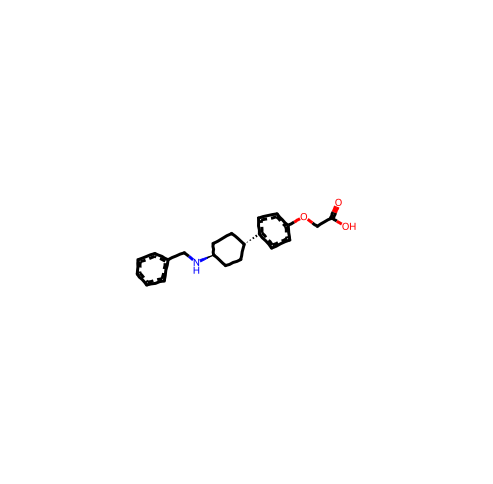 O=C(O)COc1ccc([C@H]2CC[C@H](NCc3ccccc3)CC2)cc1